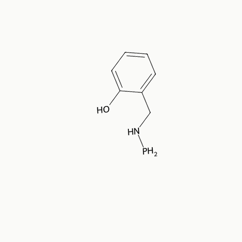 Oc1ccccc1CNP